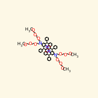 COCCOCCOCCN(CCOCCOCCOC)c1cc(C(c2ccccc2)c2ccccc2)c(/N=C/C=N/c2c(C(c3ccccc3)c3ccccc3)cc(N(CCOCCOCCOC)CCOCCOCCOC)cc2C(c2ccccc2)c2ccccc2)c(C(c2ccccc2)c2ccccc2)c1